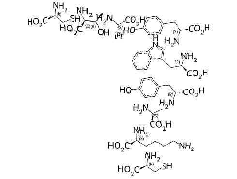 CC(C)[C@H](N)C(=O)O.C[C@@H](O)[C@H](N)C(=O)O.C[C@H](N)C(=O)O.NCCCC[C@H](N)C(=O)O.N[C@@H](CS)C(=O)O.N[C@@H](CS)C(=O)O.N[C@@H](Cc1ccc(O)cc1)C(=O)O.N[C@H](Cc1c[nH]c2ccccc12)C(=O)O.N[C@H](Cc1ccc(O)cc1)C(=O)O